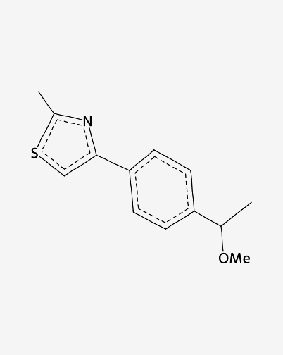 COC(C)c1ccc(-c2csc(C)n2)cc1